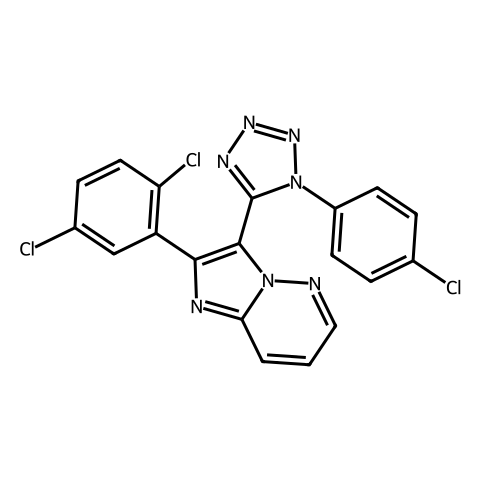 Clc1ccc(-n2nnnc2-c2c(-c3cc(Cl)ccc3Cl)nc3cccnn23)cc1